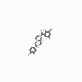 O=C(c1cc(F)cc(Br)c1Cl)N1CCN2C[C@@H](c3ccc(F)c(Cl)c3)OC[C@@H]2C1